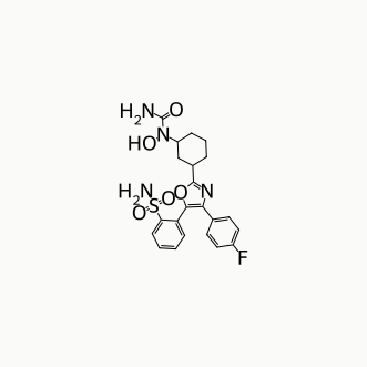 NC(=O)N(O)C1CCCC(c2nc(-c3ccc(F)cc3)c(-c3ccccc3S(N)(=O)=O)o2)C1